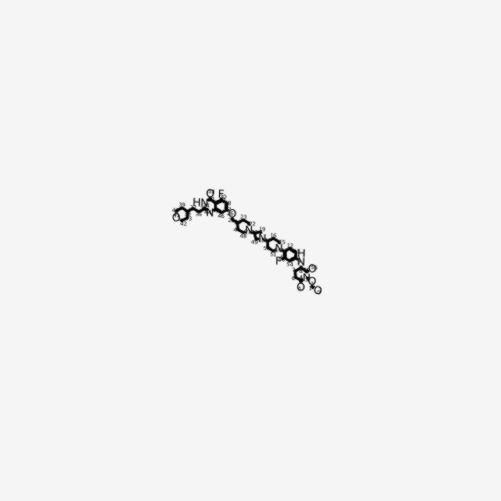 O=CON1C(=O)CCC(Nc2ccc(N3CCC(N4CC(N5CCC(COc6cc(F)c7c(=O)[nH]c(CCC8CCOCC8)nc7c6)CC5)C4)CC3)c(F)c2)C1=O